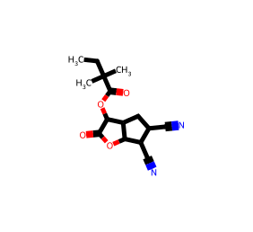 CCC(C)(C)C(=O)OC1C(=O)OC2C(C#N)C(C#N)CC12